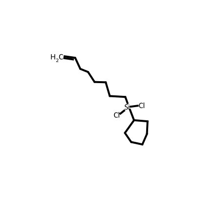 C=CCCCCCC[Si](Cl)(Cl)C1CCCCC1